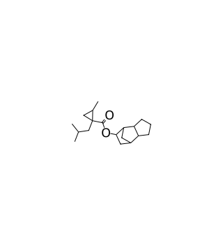 CC(C)CC1(C(=O)OC2CC3CC2C2CCCC32)CC1C